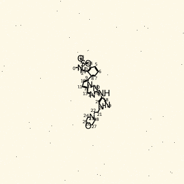 CN(Cc1ccccc1-c1ccc2cnc(Nc3cnn(CCN4CCOCC4)c3)nn12)[SH](=O)=O